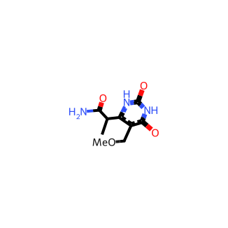 COCc1c(C(C)C(N)=O)[nH]c(=O)[nH]c1=O